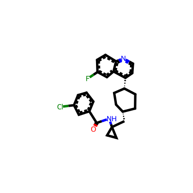 O=C(NC1(C[C@H]2CC[C@@H](c3ccnc4ccc(F)cc43)CC2)CC1)c1cccc(Cl)c1